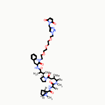 CCC(C)C(C(CC(=O)N1CCC[C@H]1C(OC)C(C)C(=O)NC(Cc1ccccc1)C(=O)NCCOCCOCCOCCn1cc(CN2C(=O)C=CC2=O)nn1)OC)N(C)C(=O)C(NC(=O)C1[C@H]2CC[C@H](C2)N1C)C(C)C